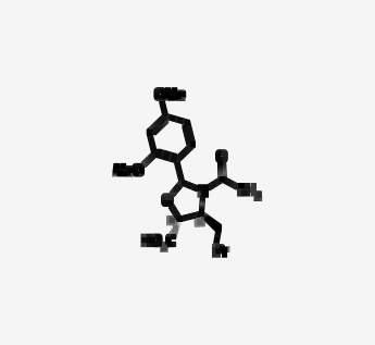 BC(=O)N1C(c2ccc(OC)cc2OC)O[C@@H](C(=O)O)[C@@H]1CC(C)C